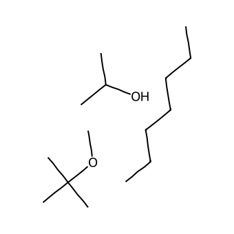 CC(C)O.CCCCCCC.COC(C)(C)C